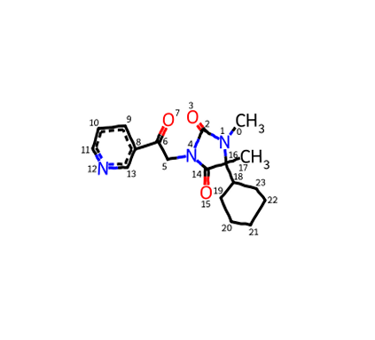 CN1C(=O)N(CC(=O)c2cccnc2)C(=O)C1(C)C1CCCCC1